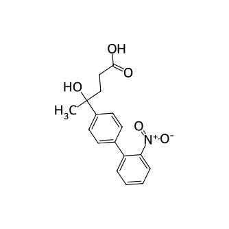 CC(O)(CCC(=O)O)c1ccc(-c2ccccc2[N+](=O)[O-])cc1